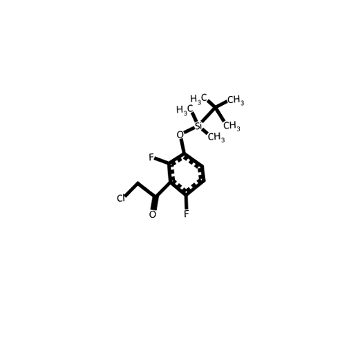 CC(C)(C)[Si](C)(C)Oc1ccc(F)c(C(=O)CCl)c1F